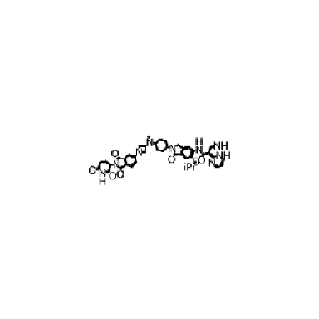 CC(C)Oc1cc2c(cc1NC(=O)/C(C=N)=C1\N=CC=CN1)CN(C1CCC(N(C)C3CN(c4ccc5c(c4)C(=O)N(C4CCC(=O)NC4=O)C5=O)C3)CC1)C2=O